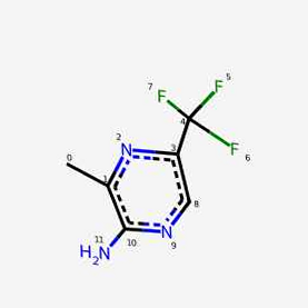 Cc1nc(C(F)(F)F)cnc1N